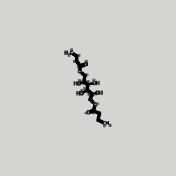 CCCC(=O)OC[C@@H](O)[C@@H](O)[C@H](O)[C@@H](O)COC(=O)CCC